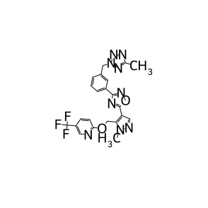 Cc1nnn(Cc2cccc(-c3noc(-c4cnn(C)c4COc4ccc(C(F)(F)F)cn4)n3)c2)n1